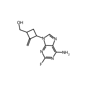 C=C1C(CO)CC1n1cnc2c(N)nc(F)nc21